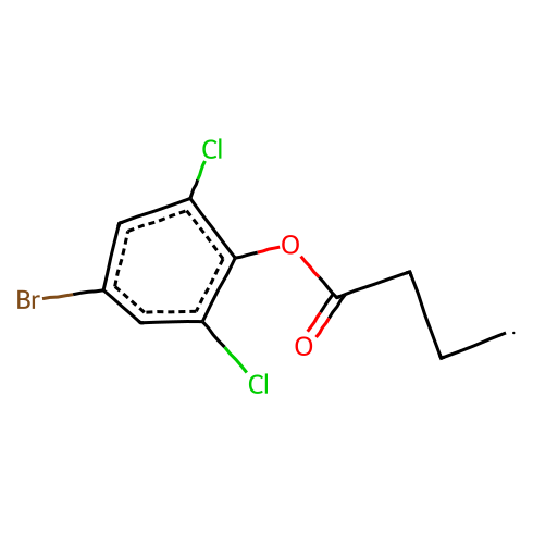 [CH2]CCC(=O)Oc1c(Cl)cc(Br)cc1Cl